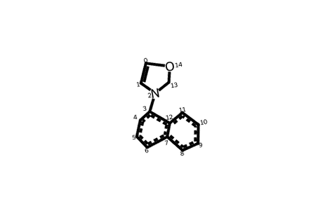 C1=CN(c2cccc3ccccc23)CO1